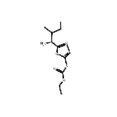 CCNC(=O)Nc1nnc([C@@H](N)C(C)CC)o1